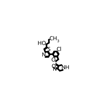 CCCC(O)c1cc2nccc(-c3cc(Cl)cc4c3O[C@@H](c3onc5c3CNCC5)C4)c2s1